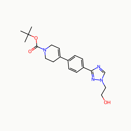 CC(C)(C)OC(=O)N1CC=C(c2ccc(-c3ncn(CCO)n3)cc2)CC1